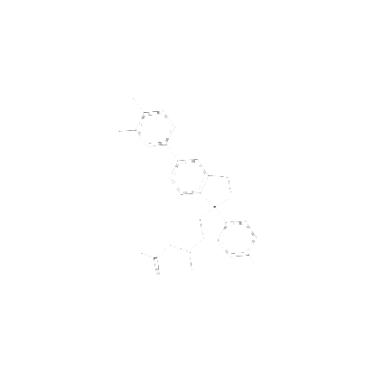 CN(CCC1(c2ccc(Cl)cc2)OCc2cc(-c3ccc(Cl)c(Cl)c3)ccc21)CC(=O)O